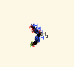 Cc1cc(Nc2nccn3c(-c4ccc(OC(F)F)cc4)cnc23)ccc1C(=O)N1CCN(C(=O)C(N)CCC(N)=O)CC1